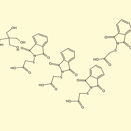 O=C(O)CSN1C(=O)c2ccccc2C1=O.O=C(O)CSN1C(=O)c2ccccc2C1=O.O=C(O)CSN1C(=O)c2ccccc2C1=O.O=C(O)CSN1C(=O)c2ccccc2C1=O.OCC(CO)(CO)CO